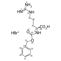 Br.N=C(N)NCCC[C@H](NC(=O)OCc1ccccc1)C(=O)O